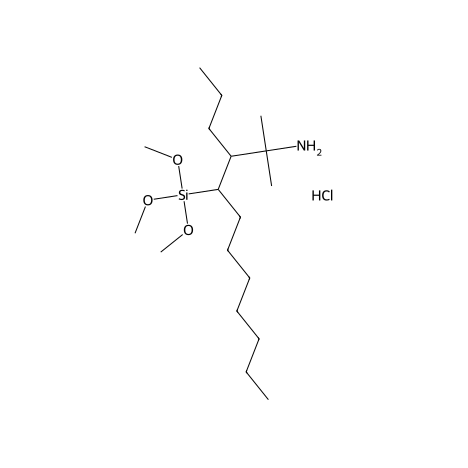 CCCCCCCC(C(CCC)C(C)(C)N)[Si](OC)(OC)OC.Cl